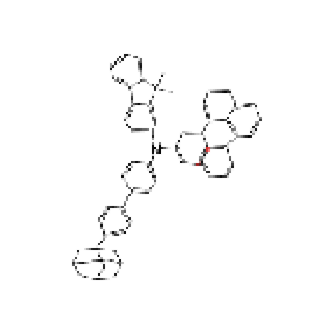 CC1(C)c2ccccc2-c2ccc(N(c3ccc(-c4ccc(C56CC7CC(CC(C7)C5)C6)cc4)cc3)c3cccc(-c4cccc5cccc(-c6ccccc6)c45)c3)cc21